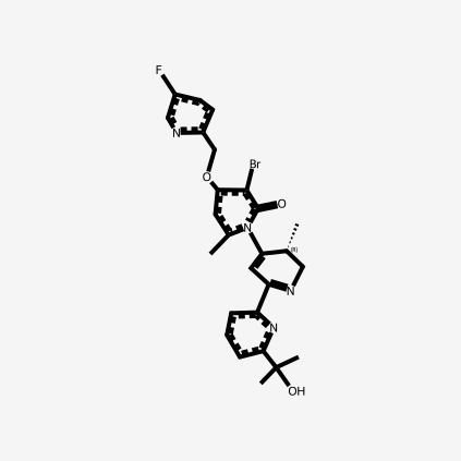 Cc1cc(OCc2ccc(F)cn2)c(Br)c(=O)n1C1=CC(c2cccc(C(C)(C)O)n2)=NC[C@H]1C